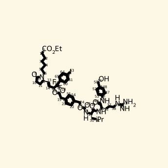 CCOC(=O)CCCCCCN1C(=O)CC[C@@H]1/C=C/[C@@H](OC(=O)Cc1ccc(COC(=O)N[C@@H](CC(C)C)C(=O)N[C@@H](CCCNC(=N)N)C(=O)Nc2ccc(CO)cc2)cc1)C(F)(F)c1ccc(I)cc1